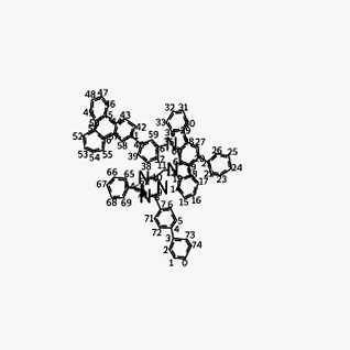 c1ccc(-c2ccc(-c3nc(Cn4c5ccccc5c5c(-c6ccccc6)cc6c7ccccc7n(-c7cccc(-c8ccc9c%10ccccc%10c%10ccccc%10c9c8)c7)c6c54)nc(-c4ccccc4)n3)cc2)cc1